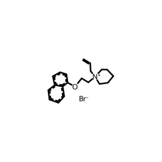 C=CC[N+]1(CCOc2cccc3ccccc23)CCCCC1.[Br-]